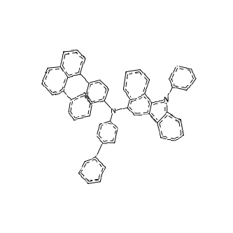 c1ccc(-c2ccc(N(c3ccc(-c4cccc5cccc(-c6ccccc6)c45)cc3)c3cc4c5ccccc5n(-c5ccccc5)c4c4ccccc34)cc2)cc1